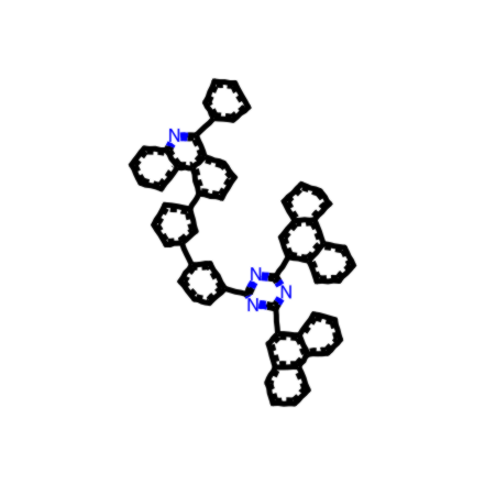 c1ccc(-c2nc3ccccc3c3c(-c4cccc(-c5cccc(-c6nc(-c7cc8ccccc8c8ccccc78)nc(-c7cc8ccccc8c8ccccc78)n6)c5)c4)cccc23)cc1